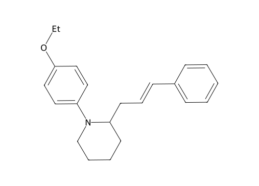 CCOc1ccc(N2CCCCC2CC=Cc2ccccc2)cc1